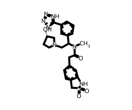 CN(C(=O)Cc1ccc2c(c1)NS(=O)(=O)C2)C(CN1CC[C@H](O)C1)c1cccc(-c2nnn[nH]2)c1